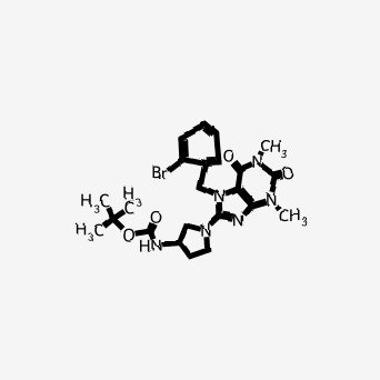 Cn1c(=O)c2c(nc(N3CCC(NC(=O)OC(C)(C)C)C3)n2Cc2ccccc2Br)n(C)c1=O